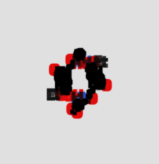 CCOc1cc2c(cc1O)CC[C@H]1[C@@H]3[C@@H](CCCC(=O)NC4CCCCC4)CC(=O)[C@@]3(C)CC[C@H]21.CCOc1cc2c(cc1O)CC[C@H]1[C@@H]3[C@@H](CCCC(=O)NCc4ccc5c(c4)OCO5)CC(=O)[C@@]3(C)CC[C@H]21